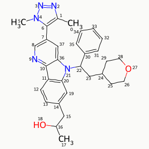 Cc1nnn(C)c1-c1cnc2c3ccc(CC(C)O)cc3n(C(CC3CCOCC3)c3ccccc3)c2c1